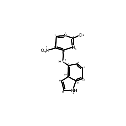 O=[N+]([O-])c1cnc(Cl)nc1Nc1cccc2[nH]ccc12